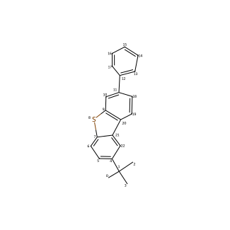 CC(C)(C)c1ccc2sc3cc(-c4ccccc4)ccc3c2c1